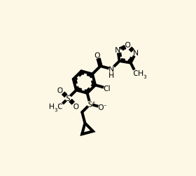 Cc1nonc1NC(=O)c1ccc(S(C)(=O)=O)c([S+]([O-])CC2CC2)c1Cl